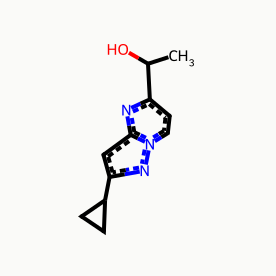 CC(O)c1ccn2nc(C3CC3)cc2n1